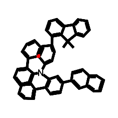 CC1(C)c2ccccc2-c2cccc(-c3ccc(N(c4ccccc4-c4ccccc4)c4cc(-c5ccc6ccccc6c5)ccc4-c4ccccc4)cc3)c21